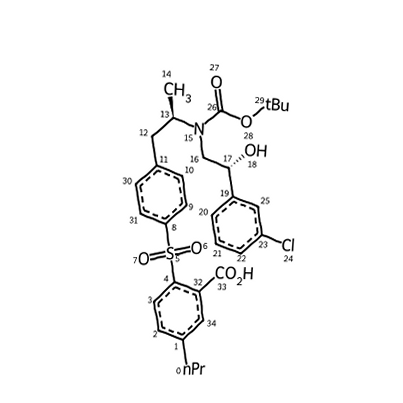 CCCc1ccc(S(=O)(=O)c2ccc(C[C@@H](C)N(C[C@H](O)c3cccc(Cl)c3)C(=O)OC(C)(C)C)cc2)c(C(=O)O)c1